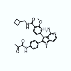 COc1cc(-c2c(-c3ccc(NC(=O)C(C)=O)cc3)n(C)c3ccnc(N)c23)ccc1C(=O)NCC1CCC1